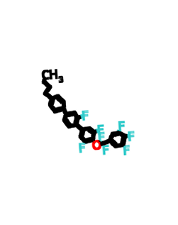 CCCCc1ccc(-c2ccc(-c3cc(F)c(OC(F)(F)c4cc(F)c(F)c(F)c4)c(F)c3)c(F)c2)cc1